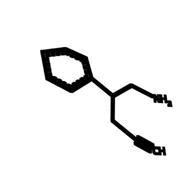 C#CCC(CN)c1ccccc1